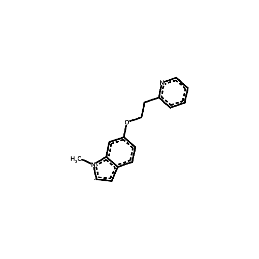 Cn1[c]cc2ccc(OCCc3ccccn3)cc21